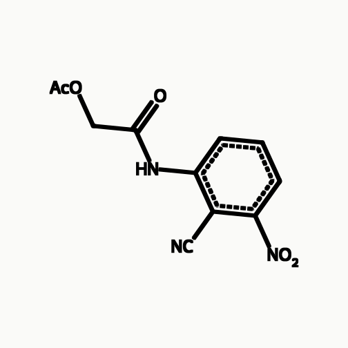 CC(=O)OCC(=O)Nc1cccc([N+](=O)[O-])c1C#N